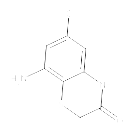 Nc1cc(Cl)cc2c1SCC(=O)N2